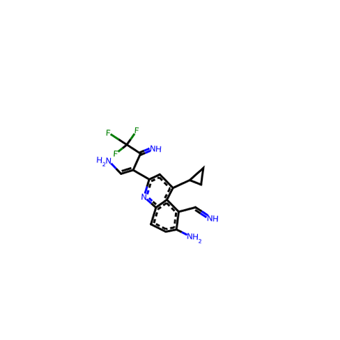 N=Cc1c(N)ccc2nc(/C(=C/N)C(=N)C(F)(F)F)cc(C3CC3)c12